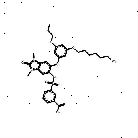 CCCOc1cc(OCCCCCCN)cc(Oc2cc3c(cc2NS(=O)(=O)c2cccc(C(=O)O)c2)n(C)c(=O)n3C)c1